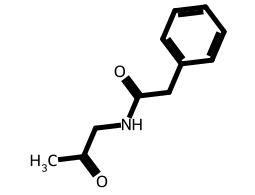 CC(=O)CNC(=O)Cc1ccccc1